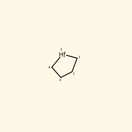 C1C[CH2][Hf][CH2]1